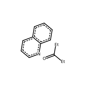 CCC(=O)CC.c1ccc2ncccc2c1